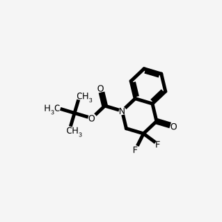 CC(C)(C)OC(=O)N1CC(F)(F)C(=O)c2ccccc21